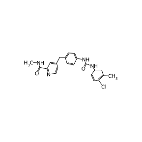 CNC(=O)c1cc(Cc2ccc(NC(=O)Nc3ccc(Cl)c(C)c3)cc2)ccn1